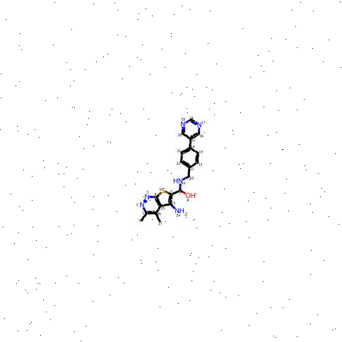 Cc1nnc2sc(C(O)NCc3ccc(-c4cncnc4)cc3)c(N)c2c1C